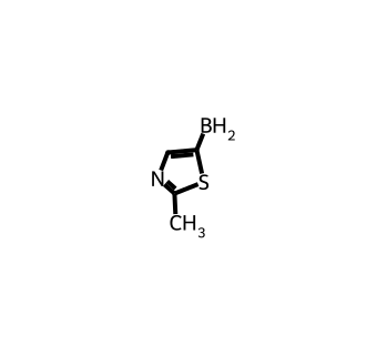 Bc1cnc(C)s1